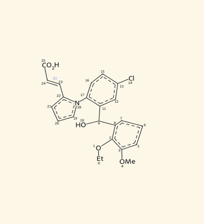 CCOc1c(OC)cccc1C(O)c1cc(Cl)ccc1-n1cccc1/C=C/C(=O)O